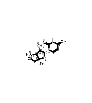 CC[C@@]1(CCl)O[C@@H](n2ccc(=O)[nH]c2=O)[C@@H](C)[C@@H]1C